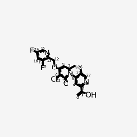 C=C(O)c1cc(-n2c(C)cc(OCc3ncc(F)cc3F)c(Cl)c2=O)c(C)cn1